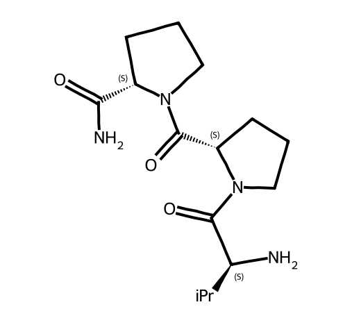 CC(C)[C@H](N)C(=O)N1CCC[C@H]1C(=O)N1CCC[C@H]1C(N)=O